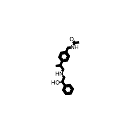 CC(=O)NCc1ccc(C(C)CNC[C@H](O)c2ccccc2)cc1